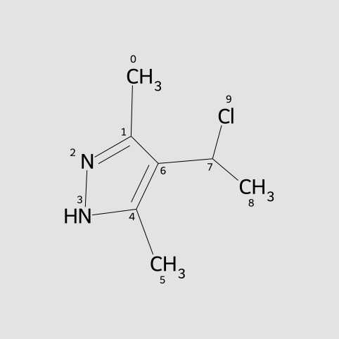 Cc1n[nH]c(C)c1C(C)Cl